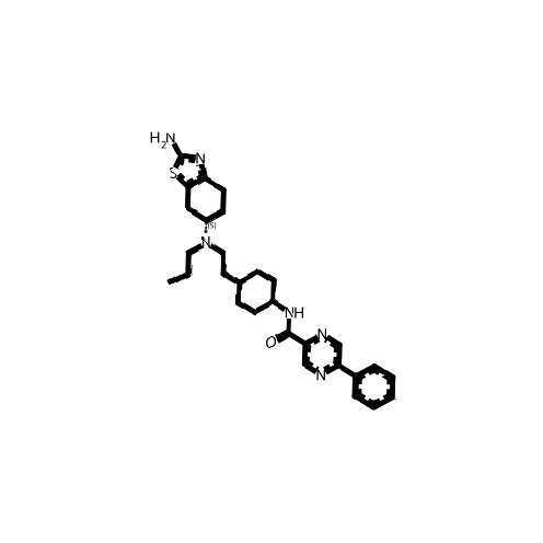 CCCN(CCC1CCC(NC(=O)c2cnc(-c3ccccc3)cn2)CC1)[C@H]1CCc2nc(N)sc2C1